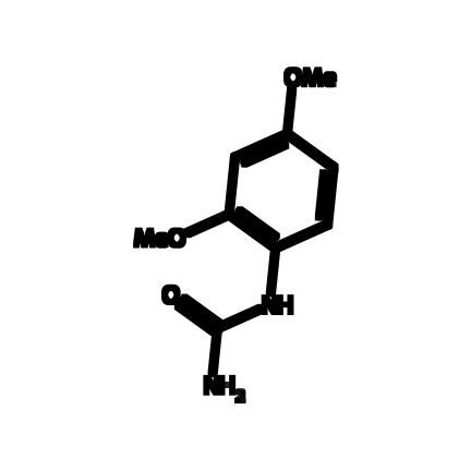 COc1ccc(NC(N)=O)c(OC)c1